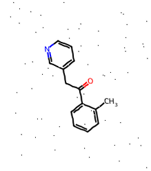 Cc1ccccc1C(=O)Cc1cccnc1